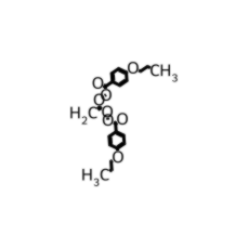 C=C(OOC(=O)c1ccc(OCCC)cc1)OOC(=O)c1ccc(OCCC)cc1